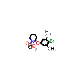 Cc1cc(O[C@@H]2CCCCN2S(C)(=O)=O)cc(C)c1Br